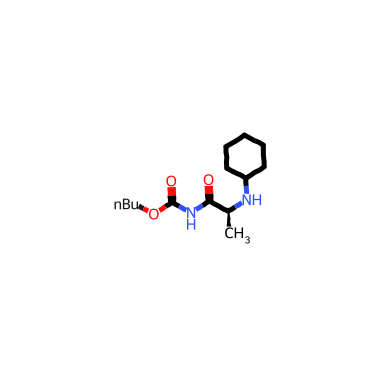 CCCCOC(=O)NC(=O)[C@H](C)NC1CCCCC1